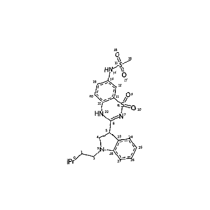 CC(C)CCN1CC(C2=NS(=O)(=O)c3cc(NS(C)(=O)=O)ccc3N2)c2ccccc21